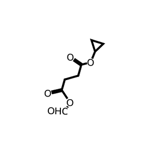 O=COC(=O)CCC(=O)OC1CC1